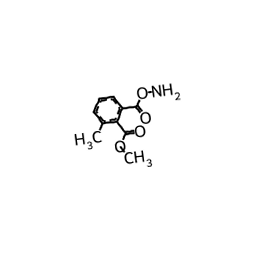 COC(=O)c1c(C)cccc1C(=O)ON